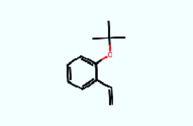 C=Cc1ccccc1OC(C)(C)C